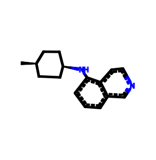 C[C@H]1CC[C@@H](Nc2cccc3cnccc23)CC1